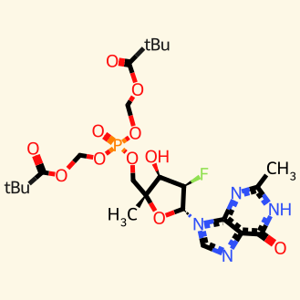 Cc1nc2c(ncn2[C@@H]2O[C@](C)(COP(=O)(OCOC(=O)C(C)(C)C)OCOC(=O)C(C)(C)C)[C@@H](O)[C@H]2F)c(=O)[nH]1